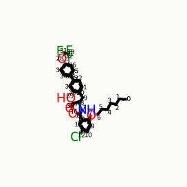 CCCCCCCOc1ccc(Cl)cc1C(=O)NC(Cc1ccc(-c2ccc(OC(F)(F)F)cc2)cc1)C(=O)O